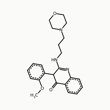 COc1ccccc1C1C(=O)c2ccccc2N=C1NCCCN1CCOCC1